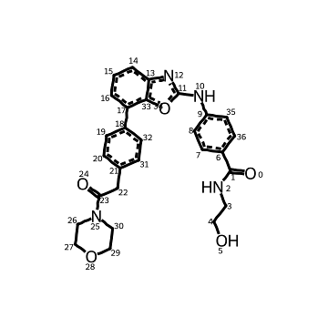 O=C(NCCO)c1ccc(Nc2nc3cccc(-c4ccc(CC(=O)N5CCOCC5)cc4)c3o2)cc1